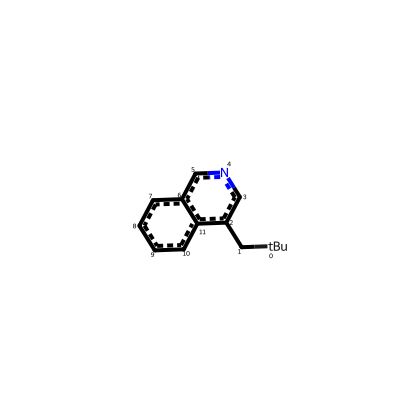 CC(C)(C)Cc1cncc2ccccc12